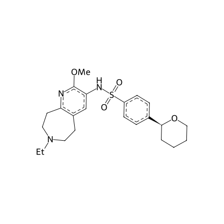 CCN1CCc2cc(NS(=O)(=O)c3ccc([C@@H]4CCCCO4)cc3)c(OC)nc2CC1